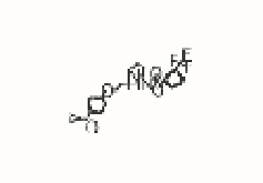 O=C(c1ccc(OCCCN2CCCC2NS(=O)(=O)c2cccc(C(F)(F)F)c2)cc1)C1CC1